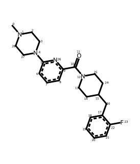 CN1CCN(c2cccc(C(=O)N3CCC(Cc4ccccc4F)CC3)n2)CC1